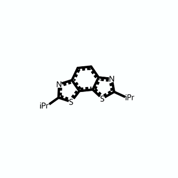 CC(C)c1nc2ccc3nc(C(C)C)sc3c2s1